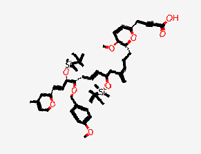 C=C(CCC[C@H]1O[C@H](CC#CC(=O)O)C=C[C@@H]1OC)CC(/C=C/C[C@H](OCc1ccc(OC)cc1)[C@H](/C=C/[C@@H]1CC(C)=CCO1)O[Si](C)(C)C(C)(C)C)O[Si](C)(C)C(C)(C)C